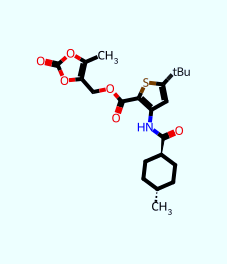 Cc1oc(=O)oc1COC(=O)c1sc(C(C)(C)C)cc1NC(=O)[C@H]1CC[C@H](C)CC1